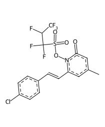 Cc1cc(C=Cc2ccc(Cl)cc2)n(OS(=O)(=O)C(F)(F)C(F)C(F)(F)F)c(=O)c1